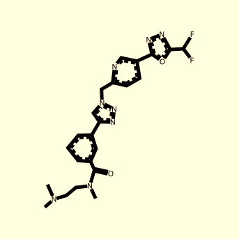 CN(C)CCN(C)C(=O)c1cccc(-c2cn(Cc3ccc(-c4nnc(C(F)F)o4)cn3)nn2)c1